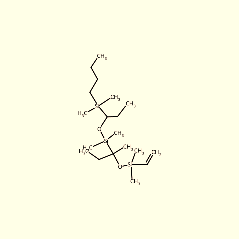 C=C[Si](C)(C)OC(C)(CC)[Si](C)(C)OC(CC)[Si](C)(C)CCCC